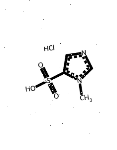 Cl.Cn1cncc1S(=O)(=O)O